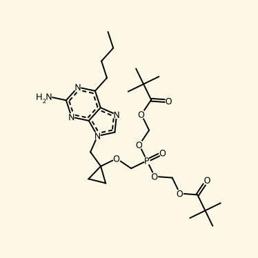 CCCCc1nc(N)nc2c1ncn2CC1(OCP(=O)(OCOC(=O)C(C)(C)C)OCOC(=O)C(C)(C)C)CC1